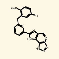 CC(C)COc1ccc(Cl)cc1Cc1cccc(-c2nc3cnc4nn[nH]c4c3[nH]2)n1